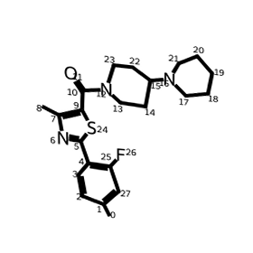 Cc1ccc(-c2nc(C)c(C(=O)N3CCC(N4CCCCC4)CC3)s2)c(F)c1